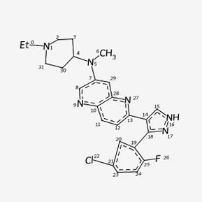 CCN1CCC(N(C)c2cnc3ccc(-c4c[nH]nc4-c4cc(Cl)ccc4F)nc3c2)CC1